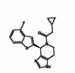 O=C(CC1CC1)N1CCc2[nH]cnc2[C@H]1c1cc2c(F)cccc2o1